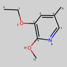 CCOc1cc(C)cnc1OC